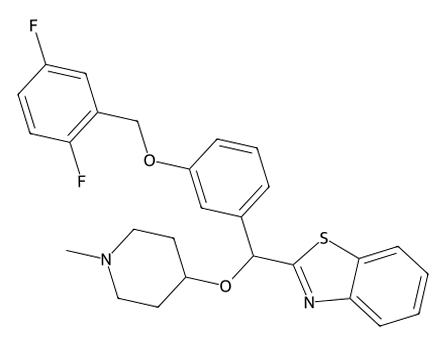 CN1CCC(OC(c2cccc(OCc3cc(F)ccc3F)c2)c2nc3ccccc3s2)CC1